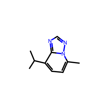 Cc1ccc(C(C)C)c2ncnn12